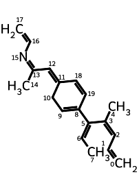 C=C/C=C(C)\C(=C/C)C1=CC/C(=C\C(C)=N/C=C)C=C1